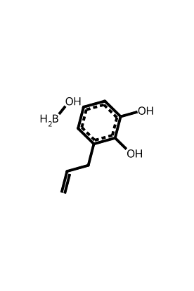 BO.C=CCc1cccc(O)c1O